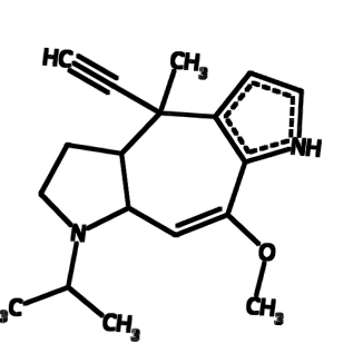 C#CC1(C)c2cc[nH]c2C(OC)=CC2C1CCN2C(C)C